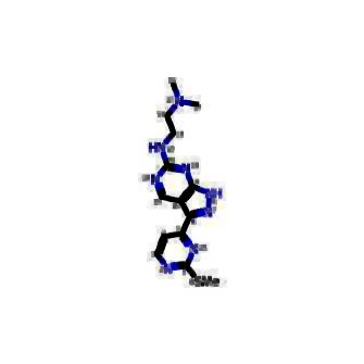 CSc1nccc(-c2n[nH]c3nc(NCCN(C)C)ncc23)n1